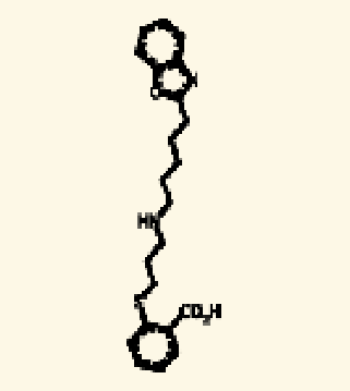 O=C(O)c1ccccc1SCCCNCCCCCc1nc2ccccc2o1